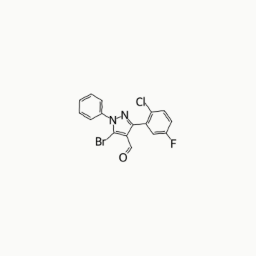 O=Cc1c(-c2cc(F)ccc2Cl)nn(-c2ccccc2)c1Br